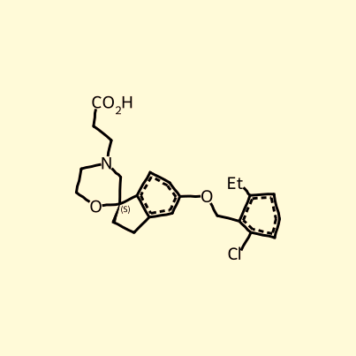 CCc1cccc(Cl)c1COc1ccc2c(c1)CC[C@@]21CN(CCC(=O)O)CCO1